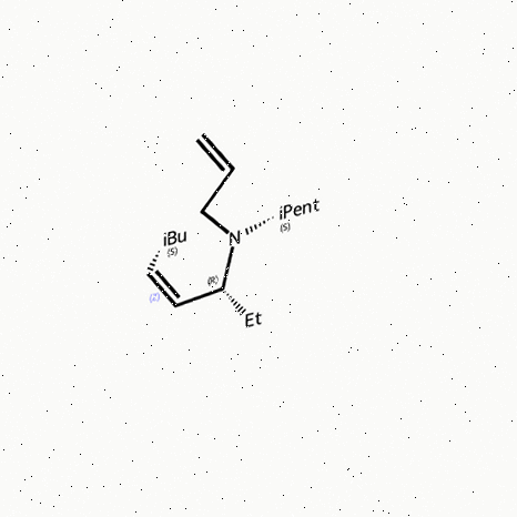 C=CCN([C@@H](C)CCC)[C@@H](/C=C\[C@@H](C)CC)CC